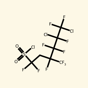 O=S(=O)(Cl)C(F)(F)CC(F)(C(F)(F)F)C(F)(F)C(F)(Cl)C(F)(F)Cl